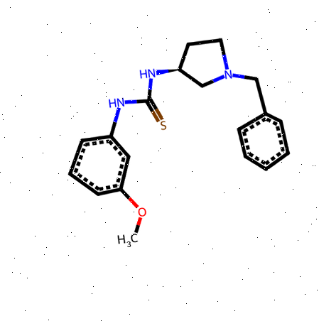 COc1cccc(NC(=S)N[C@H]2CCN(Cc3ccccc3)C2)c1